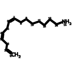 C=CC/C=C\C/C=C\CCCCCCCN